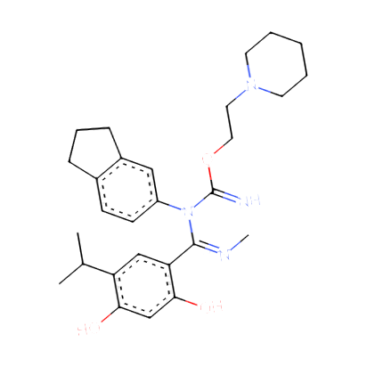 C/N=C(/c1cc(C(C)C)c(O)cc1O)N(C(=N)OCCN1CCCCC1)c1ccc2c(c1)CCC2